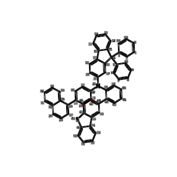 c1ccc(C2(c3ccccc3)c3ccccc3-c3ccc(N(c4ccc(-c5cccc6ccccc56)cc4)c4ccccc4-c4ccc5sc6ccccc6c5c4)cc32)cc1